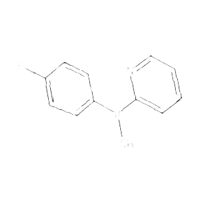 CN(c1ccc(F)cc1)c1ccccn1